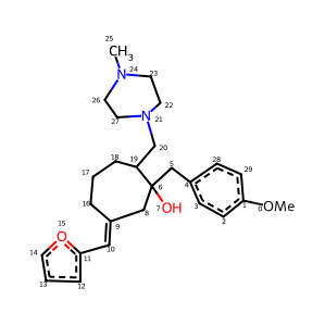 COc1ccc(CC2(O)CC(=Cc3ccco3)CCCC2CN2CCN(C)CC2)cc1